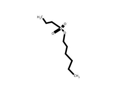 CCCCCCOS(=O)(=O)CCC